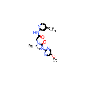 CCOc1cnc(N2C[C@H]([C@@H](C)CC)N(CC(=O)Nc3cc(C(F)(F)F)ccn3)C2=O)nc1